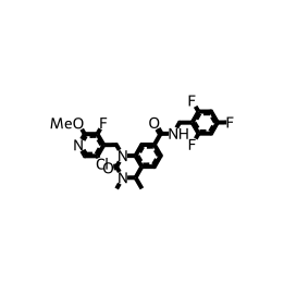 COc1ncc(Cl)c(CN2C(=O)N(C)C(C)c3ccc(C(=O)NCc4c(F)cc(F)cc4F)cc32)c1F